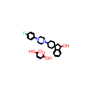 O=C(O)/C=C\C(=O)O.OC1CC2(CCC(N3CCN(c4ccc(F)cc4)CC3)CC2)c2ccccc21